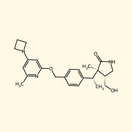 Cc1cc(N2CCC2)cc(OCc2ccc([C@@H](C)[C@@]3(C)C(=O)NC[C@@H]3CO)cc2)n1